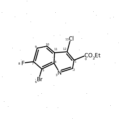 CCOC(=O)c1cnc2c(Br)c(F)ccc2c1Cl